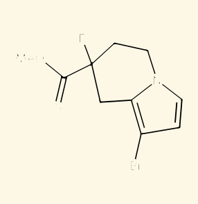 COC(=O)C1(F)CCn2ccc(Br)c2C1